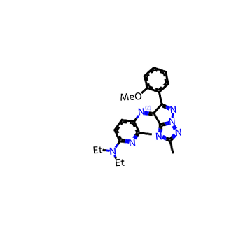 CCN(CC)c1ccc(/N=C2/C(c3ccccc3OC)=Nn3nc(C)nc32)c(C)n1